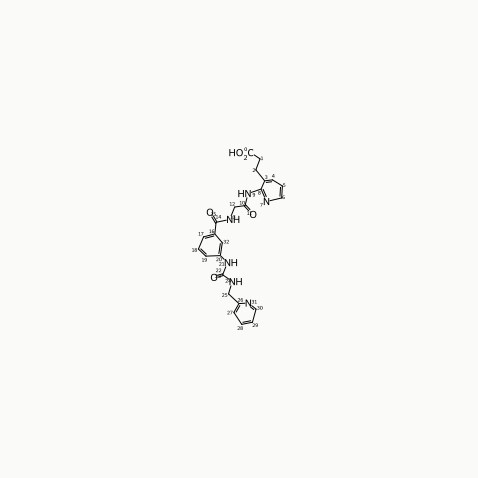 O=C(O)CCc1cccnc1NC(=O)CNC(=O)c1cccc(NC(=O)NCc2ccccn2)c1